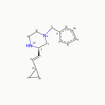 C(=C[C@@H]1CN(Cc2ccccc2)CCN1)C1CC1